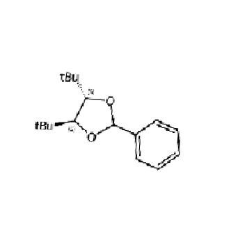 CC(C)(C)[C@@H]1OC(c2ccccc2)O[C@H]1C(C)(C)C